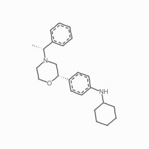 C[C@H](c1ccccc1)N1CCO[C@@H](c2ccc(NC3CCCCC3)cc2)C1